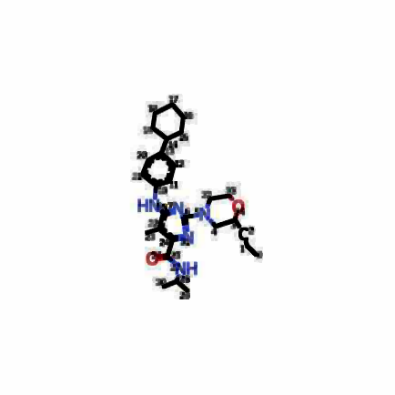 CCCC1CN(c2nc(Nc3ccc(C4CCCCC4)cc3)c(C)c(C(=O)NC(C)C)n2)CCO1